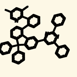 Cc1cnc(-c2ccccc2-c2cccc3c2-c2cc(-c4cc(-c5ccccc5)nc(-c5ccccc5)n4)ccc2C3(c2ccccc2)c2ccccc2)c(C)c1